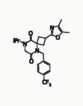 Cc1nc(C2CC3(C2)C(=O)N(C(C)C)CC(=O)N3Cc2ccc(C(F)(F)F)cc2)oc1C